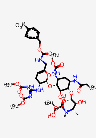 C[C@@H]([C@@H](O)[C@H](OCCO)O[C@@H]1[C@@H](O)[C@H](O[C@H]2OC(CNC(=O)OCc3ccc([N+](=O)[O-])cc3)=CC[C@H]2N/C(=N/C(=O)OC(C)(C)C)NC(=O)OC(C)(C)C)[C@@H](NC(=O)OC(C)(C)C)C[C@H]1NC(=O)CC(C)(C)C)N(C)C(=O)OC(C)(C)C